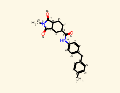 Cc1ccc(Cc2ccc(NC(=O)C3CCC4C(=O)N(C)C(=O)C4C3)cc2)cc1